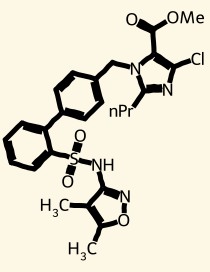 CCCc1nc(Cl)c(C(=O)OC)n1Cc1ccc(-c2ccccc2S(=O)(=O)Nc2noc(C)c2C)cc1